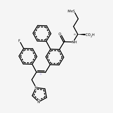 CSCC[C@H](NC(=O)c1ccc(/C=C(/Cn2ccnc2)c2ccc(F)cc2)cc1-c1ccccc1)C(=O)O